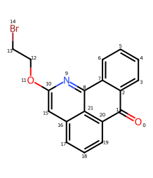 O=C1c2ccccc2-c2nc(OCCBr)cc3cccc1c23